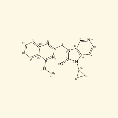 CC(C)Oc1nc(Cn2c(=O)n(C3CC3)c3ccncc32)nc2ccccc12